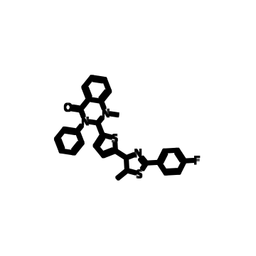 CC1SC(c2ccc(F)cc2)=NC1c1ccc(C2N(C)c3ccccc3C(=O)N2c2ccccc2)s1